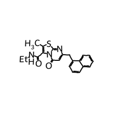 CCNC(=O)c1c(C)sc2nc(Cc3cccc4ccccc34)cc(=O)n12